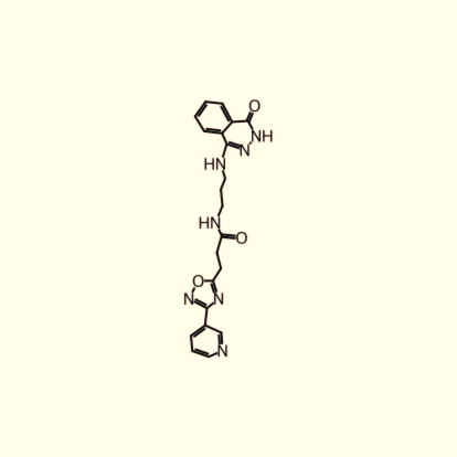 O=C(CCc1nc(-c2cccnc2)no1)NCCCNc1n[nH]c(=O)c2ccccc12